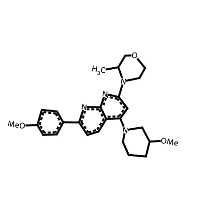 COc1ccc(-c2ccc3c(N4CCCC(OC)C4)cc(N4CCOCC4C)nc3n2)cc1